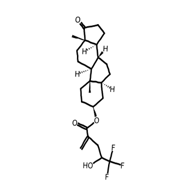 C=C(CC(O)C(F)(F)F)C(=O)O[C@H]1CC[C@@]2(C)[C@@H](CC[C@@H]3[C@@H]2CC[C@]2(C)C(=O)CC[C@@H]32)C1